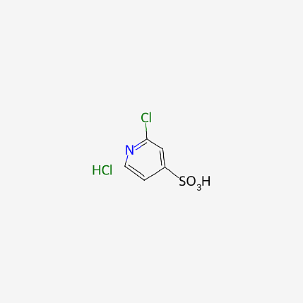 Cl.O=S(=O)(O)c1ccnc(Cl)c1